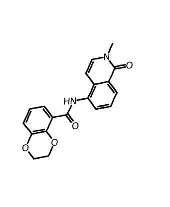 Cn1ccc2c(NC(=O)c3cccc4c3OCCO4)cccc2c1=O